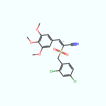 COc1cc(/C=C(/C#N)S(=O)(=O)Cc2ccc(Cl)cc2Cl)cc(OC)c1OC